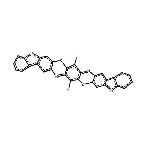 Clc1c2c(c(Cl)c3c1=Nc1cc4c(cc1O3)oc1ccccc14)=Nc1cc3c(cc1O2)oc1ccccc13